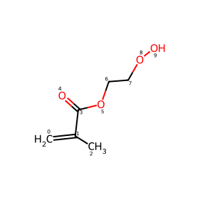 C=C(C)C(=O)OCCOO